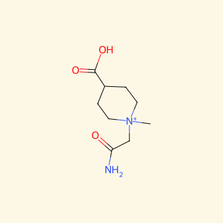 C[N+]1(CC(N)=O)CCC(C(=O)O)CC1